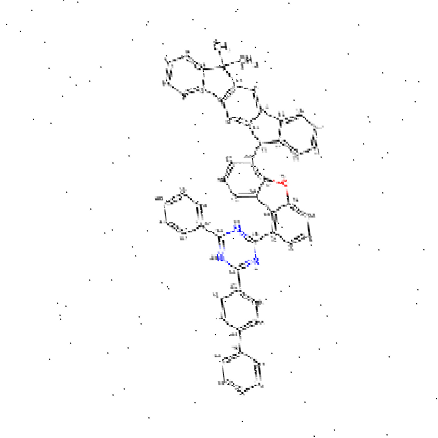 CC1(C)c2ccccc2-c2cc3c(cc21)-c1ccccc1C3c1cccc2c1oc1cccc(-c3nc(-c4ccccc4)nc(-c4ccc(-c5ccccc5)cc4)n3)c12